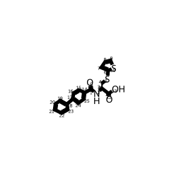 O=C(N[C@@H](CSc1cccs1)C(=O)O)c1ccc(-c2ccccc2)cc1